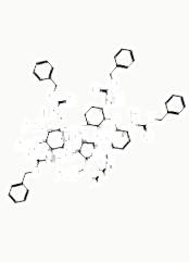 CC(=O)OC[C@H]1O[C@@H](O[C@H]2[C@H](O[C@H]3O[C@H](CN=[N+]=[N-])C=C[C@H]3NC(=O)OCc3ccccc3)[C@@H](NC(=O)OCc3ccccc3)CC[C@@H]2OC(C)=O)[C@H](OC(C)=O)[C@@H]1O[C@H]1O[C@@H](CNC(=O)OCc2ccccc2)[C@@H](OC(C)=O)[C@H](OC(C)=O)[C@H]1NC(=O)OCc1ccccc1